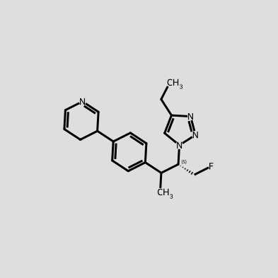 CCc1cn([C@H](CF)C(C)c2ccc(C3C=NC=CC3)cc2)nn1